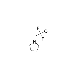 [O]C(F)(F)CN1CCCC1